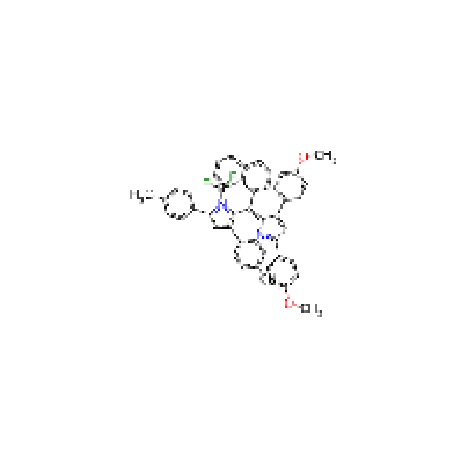 COc1ccc(C2=CC(c3ccc(OC)cc3)=N/C2=C(/c2cccc3ccccc23)c2c(-c3ccc(C)cc3)cc(-c3ccc(C)cc3)n2B(F)F)cc1